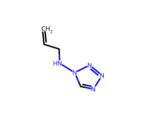 C=CCNn1cnnn1